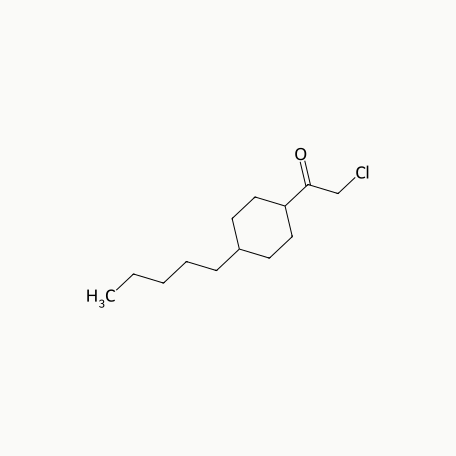 CCCCCC1CCC(C(=O)CCl)CC1